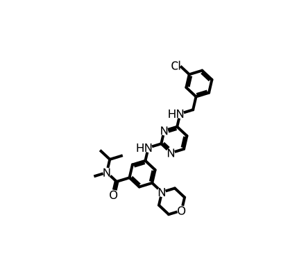 CC(C)N(C)C(=O)c1cc(Nc2nccc(NCc3cccc(Cl)c3)n2)cc(N2CCOCC2)c1